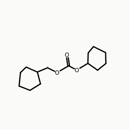 O=C(O[CH]C1CCCCC1)OC1CCCCC1